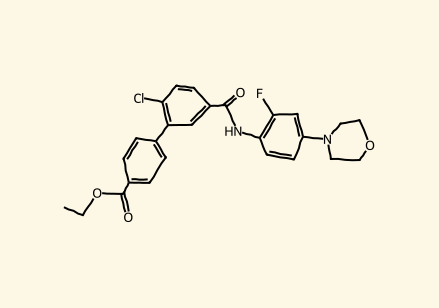 CCOC(=O)c1ccc(-c2cc(C(=O)Nc3ccc(N4CCOCC4)cc3F)ccc2Cl)cc1